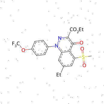 CCOC(=O)c1nn(-c2ccc(OC(F)(F)F)cc2)c2cc(CC)cc(S(C)(=O)=O)c2c1=O